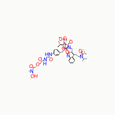 CC[C@@]1(OC(=O)OCc2ccc(NC(=O)CNC(=O)COCC(=O)N(C)CO)cc2)C(=O)OCC(C)=C1/C=C1/c2nc3ccccc3c(CCN(C(C)C)[S+](C)[O-])c2CN1C=O